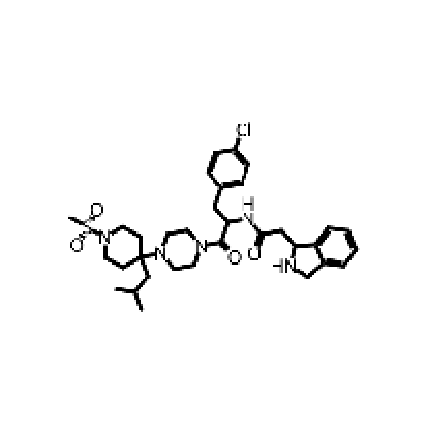 CC(C)CC1(N2CCN(C(=O)C(Cc3ccc(Cl)cc3)NC(=O)CC3NCc4ccccc43)CC2)CCN(S(C)(=O)=O)CC1